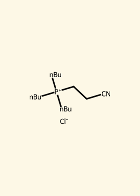 CCCC[P+](CCC#N)(CCCC)CCCC.[Cl-]